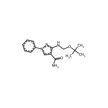 CC(C)(C)OCNc1nn(-c2ccccc2)cc1C(N)=O